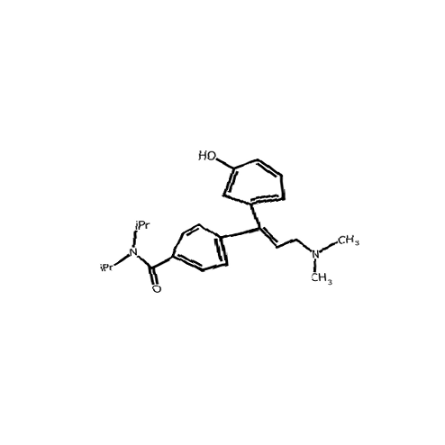 CC(C)N(C(=O)c1ccc(C(=CCN(C)C)c2cccc(O)c2)cc1)C(C)C